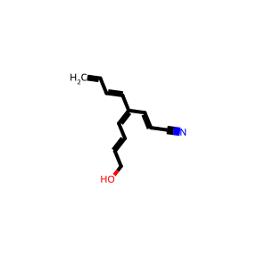 C=CC=CC(C=CC#N)=CC=CCO